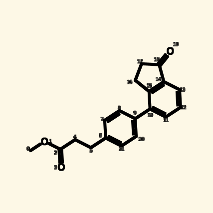 COC(=O)CCc1ccc(-c2cccc3c2CCC3=O)cc1